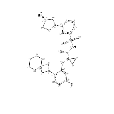 O=C(NS(=O)(=O)c1cccc(N2CC[C@@H](O)C2)n1)C1(Oc2cc(Cl)ccc2N2CC3(CCCCC3)C2)CC1